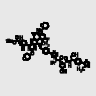 Cc1ncsc1-c1ccc([C@H](CO)NC(=O)[C@@H]2C[C@@H](O)CN2C(=O)[C@H](C(C)C)n2cc(-c3ccc(COc4c(-c5c(C)c(F)cc6c5cnn6C5CCCCO5)c(C5CC5)nc5c(N6C[C@@H]7C[C@H]6CN7C(=O)OC(C)(C)C)nc(OC6CCOCC6)nc45)cc3)nn2)cc1